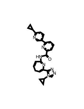 O=C(NC1=NC(c2nncn2C2CC2)=CCC=C1)c1cccc(-c2ccc(C3CC3)nc2)n1